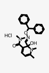 CC1=CC=C(C(=O)N(C)C)C(O)(C=NOC(c2ccccc2)c2ccccc2)N1C.Cl